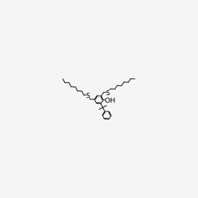 CCCCCCCCSCc1cc(CSCCCCCCCC)c(O)c(C(C)(C)c2ccccc2)c1